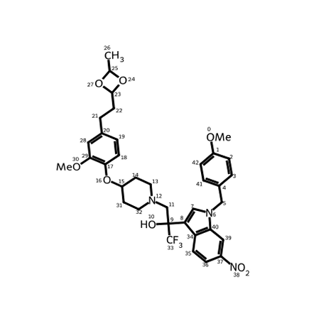 COc1ccc(Cn2cc(C(O)(CN3CCC(Oc4ccc(CCC5OC(C)O5)cc4OC)CC3)C(F)(F)F)c3ccc([N+](=O)[O-])cc32)cc1